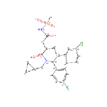 CS(=O)(=O)NC(=O)CC1CC(c2cccc(Cl)c2)C(c2ccc(Cl)cc2)N(CC2CC2)C1=O